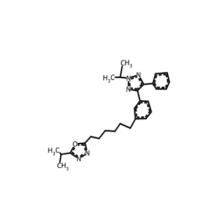 CC(C)c1nnc(CCCCCCc2cccc(-c3nn(C(C)C)nc3-c3ccccc3)c2)o1